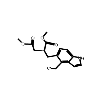 COC(=O)C[C@H](Cc1ccc2[nH]ccc2c1CCl)C(=O)OC